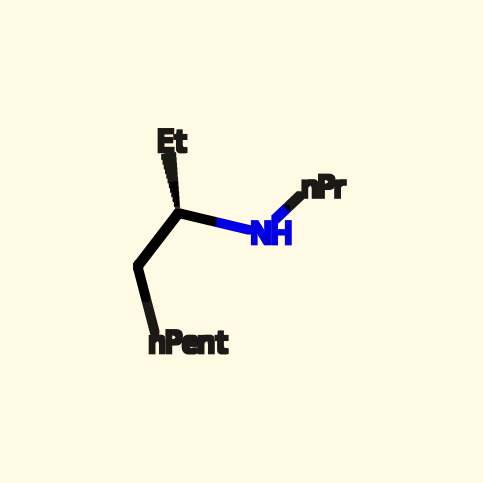 CCCCCC[C@H](CC)NCCC